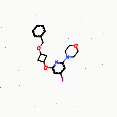 Ic1cc(OC2CC(OCc3ccccc3)C2)nc(N2CCOCC2)c1